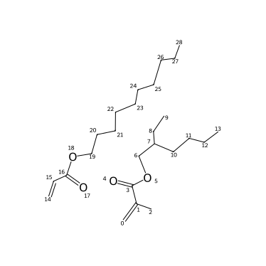 C=C(C)C(=O)OCC(CC)CCCC.C=CC(=O)OCCCCCCCCCC